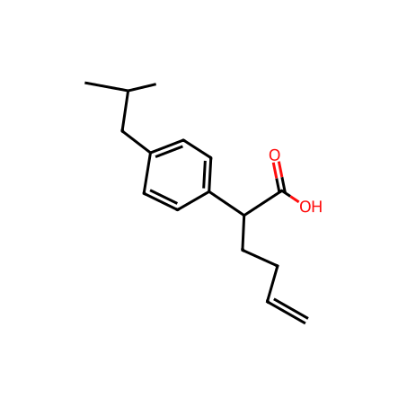 C=CCCC(C(=O)O)c1ccc(CC(C)C)cc1